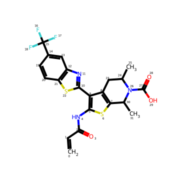 C=CC(=O)Nc1sc2c(c1-c1nc3cc(C(F)(F)F)ccc3s1)CC(C)N(C(=O)O)C2C